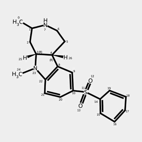 CC1C[C@@H]2[C@H](CCN1)c1cc(S(=O)(=O)c3ccccc3)ccc1N2C